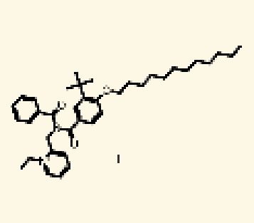 CCCCCCCCCCCCOc1ccc(C(=O)N(Cc2cccc[n+]2CC)C(=O)c2ccccc2)cc1C(C)(C)C.[I-]